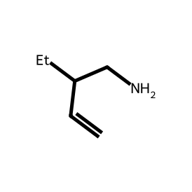 C=CC(CC)CN